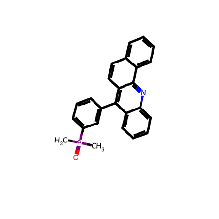 CP(C)(=O)c1cccc(-c2c3ccccc3nc3c2ccc2ccccc23)c1